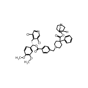 COc1ccc([C@H](Cc2c(Cl)cncc2Cl)OC(=O)c2ccc(CN3CCC(C(=O)O[C@H]4CN5CCC4CC5)(c4ccccc4)CC3)cc2)cc1OC